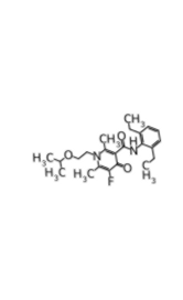 CCc1cccc(CC)c1NC(=O)c1c(C)n(CCOC(C)C)c(C)c(F)c1=O